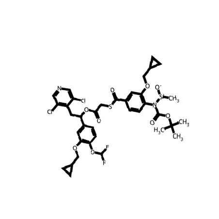 C[S+]([O-])N(C(=O)OC(C)(C)C)c1ccc(C(=O)SCC(=O)OC(Cc2c(Cl)cncc2Cl)c2ccc(OC(F)F)c(OCC3CC3)c2)cc1OCC1CC1